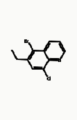 CCc1cc(Cl)c2ncccc2c1Br